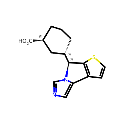 O=C(O)[C@H]1CCC[C@H]([C@H]2c3sccc3-c3cncn32)C1